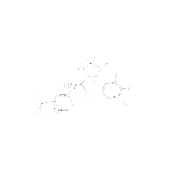 CC(=O)c1cc(NC(=O)[C@H]2OC(C)(C)[C@@H](C)[C@@H]2c2ccc(F)c(F)c2C)ccn1